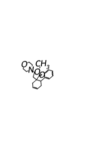 CCOC(=O)C1(CCN2CCOCC2)CC=CCC1c1ccccc1